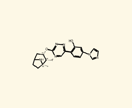 C[C@@]12CCC(C[C@H](Oc3ncc(-c4ccc(-n5ccnc5)cc4O)nn3)[C@@H]1F)N2